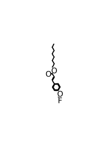 CCCCCCCCOC(=O)C=Cc1ccc(OCF)cc1